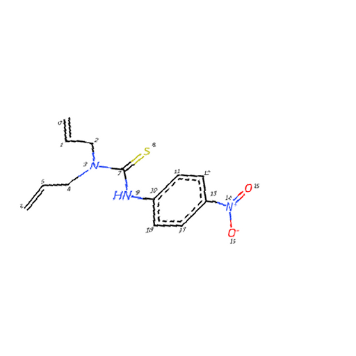 C=CCN(CC=C)C(=S)Nc1ccc([N+](=O)[O-])cc1